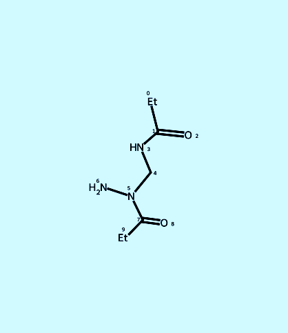 CCC(=O)NCN(N)C(=O)CC